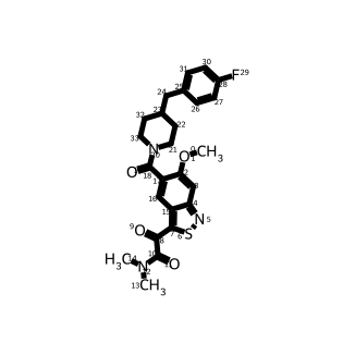 COc1cc2nsc(C(=O)C(=O)N(C)C)c2cc1C(=O)N1CCC(Cc2ccc(F)cc2)CC1